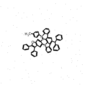 Cc1ccc(N2B3c4cc5oc(-c6ccccc6)c(-c6ccccc6)c5cc4-n4c5ccccc5c5c(C(c6ccccc6)c6ccccc6)cc(c3c54)-c3ccccc32)cc1